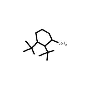 CC(C)(C)C1CCC[CH]([SbH2])C1C(C)(C)C